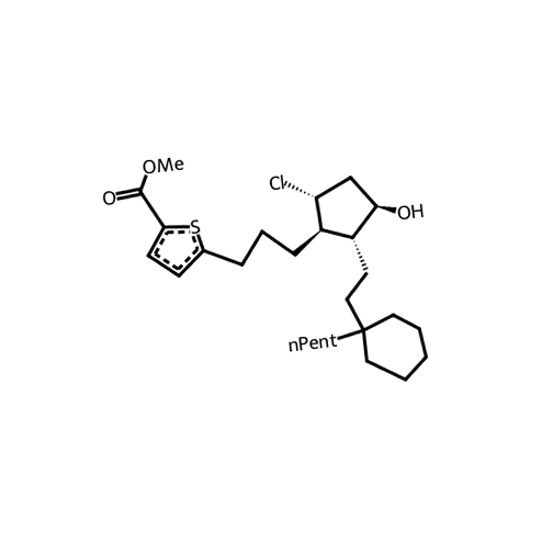 CCCCCC1(CC[C@@H]2[C@@H](CCCc3ccc(C(=O)OC)s3)[C@H](Cl)C[C@H]2O)CCCCC1